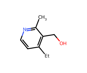 CCc1ccnc(C)c1CO